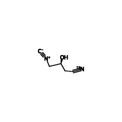 [C-]#[N+]C[C@@H](O)CC#[15N]